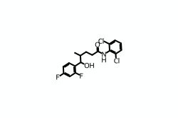 CC(CCC(=O)Nc1c(Cl)cccc1Cl)C(O)c1ccc(F)cc1F